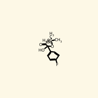 CC(C)(C)C(=O)C(O)(O[Si](C)(C)C)c1ccc(F)cc1